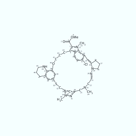 COC(=O)c1c2c3ccc(Cl)c(c3n1C)/C=C1\CCCN1/N=C/CN(C)Cc1cc(n(C)n1)CSc1cc3c(c(c1)OCCC2)NCCC3